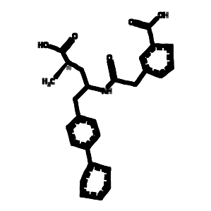 C[C@H](CC(Cc1ccc(-c2ccccc2)cc1)NC(=O)Cc1cccc(C(=O)O)c1)C(=O)O